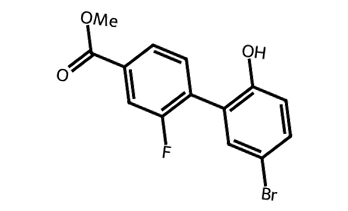 COC(=O)c1ccc(-c2cc(Br)ccc2O)c(F)c1